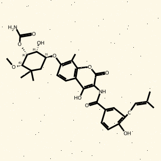 CO[C@@H]1[C@H](OC(N)=O)[C@H](O)[C@@H](Oc2ccc3c(O)c(NC(=O)c4ccc(O)c(CC=C(C)C)c4)c(=O)oc3c2C)CC1(C)C